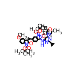 COc1ccc2c(c1)[C@]1(CC1c1ccc3c(Nc4nc(C5CC5)nc(N5C[C@@H](C)O[C@@H](C)C5)c4OC)nn(C(=O)OC(C)(C)C)c3c1)C(=O)N2C(=O)OC(C)(C)C